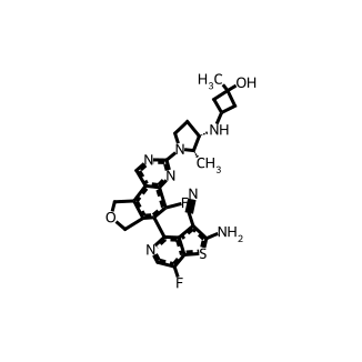 C[C@H]1[C@@H](NC2CC(C)(O)C2)CCN1c1ncc2c3c(c(-c4ncc(F)c5sc(N)c(C#N)c45)c(F)c2n1)COC3